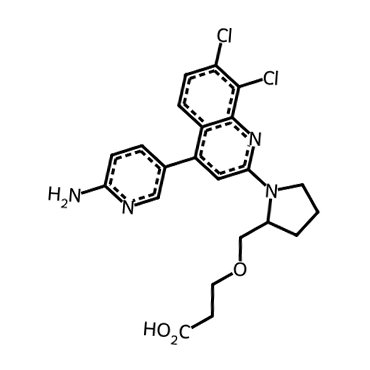 Nc1ccc(-c2cc(N3CCCC3COCCC(=O)O)nc3c(Cl)c(Cl)ccc23)cn1